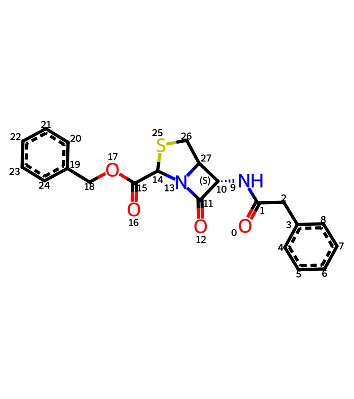 O=C(Cc1ccccc1)N[C@@H]1C(=O)N2C(C(=O)OCc3ccccc3)SCC12